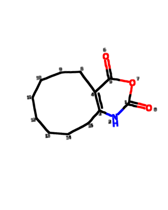 O=c1[nH]c2c(c(=O)o1)CCCCCCCC2